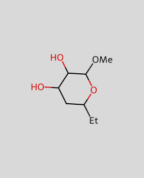 CCC1CC(O)C(O)C(OC)O1